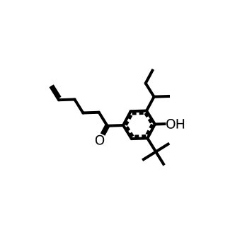 C=CCCCC(=O)c1cc(C(C)CC)c(O)c(C(C)(C)C)c1